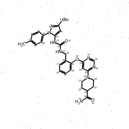 Cc1ccc(-n2nc(C(C)(C)C)cc2NC(=O)NCc2ccccc2Oc2cc(N3CCC(C(N)=O)CC3)ncn2)cc1